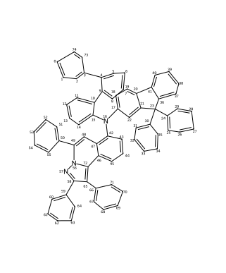 c1ccc(-c2ccccc2-c2ccccc2N(c2ccc3c(c2)C(c2ccccc2)(c2ccccc2)c2ccccc2-3)c2cccc3c2cc(-c2ccccc2)n2nc(-c4ccccc4)c(-c4ccccc4)c32)cc1